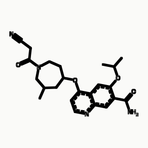 CC1CC(Oc2ccnc3cc(C(N)=O)c(OC(C)C)cc23)CCN(C(=O)CC#N)C1